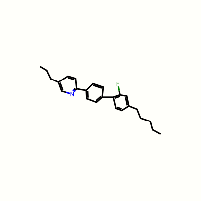 CCCCCc1ccc(-c2ccc(-c3ccc(CCC)cn3)cc2)c(F)c1